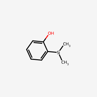 C[Si](C)c1ccccc1O